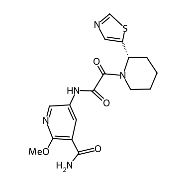 COc1ncc(NC(=O)C(=O)N2CCCC[C@H]2c2cncs2)cc1C(N)=O